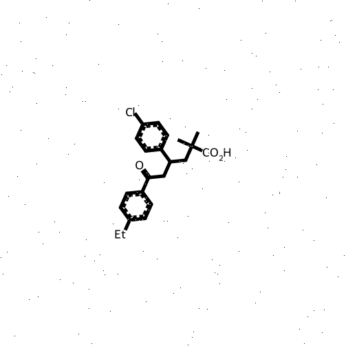 CCc1ccc(C(=O)CC(CC(C)(C)C(=O)O)c2ccc(Cl)cc2)cc1